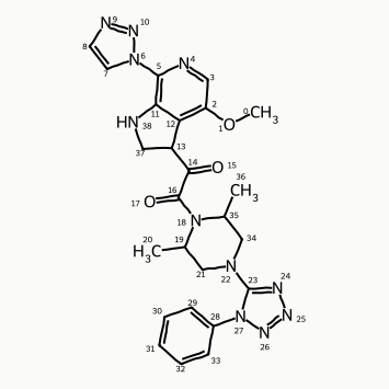 COc1cnc(-n2ccnn2)c2c1C(C(=O)C(=O)N1C(C)CN(c3nnnn3-c3ccccc3)CC1C)CN2